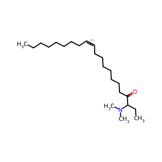 CCCCCCCC/C=C\CCCCCCCC(=O)C(CC)N(C)C